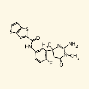 CN1C(=O)CC(C)(c2cc(NC(=O)c3cc4sccc4s3)ccc2F)N=C1N